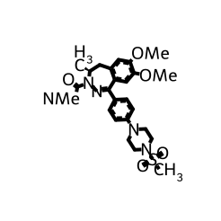 CNC(=O)N1N=C(c2ccc(N3CCN(S(C)(=O)=O)CC3)cc2)c2cc(OC)c(OC)cc2C[C@@H]1C